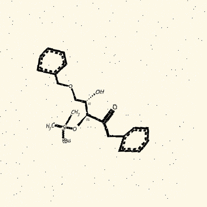 CC(C)(C)[Si](C)(C)O[C@H](C(=O)Cc1ccccc1)[C@@H](O)COCc1ccccc1